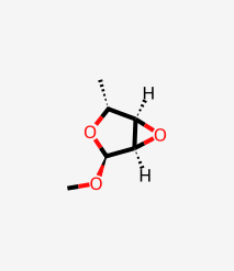 CO[C@H]1O[C@H](C)[C@H]2O[C@@H]12